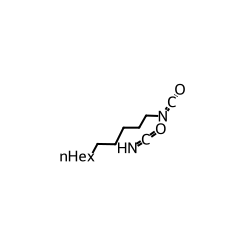 CCCCCCCCCCCN=C=O.N=C=O